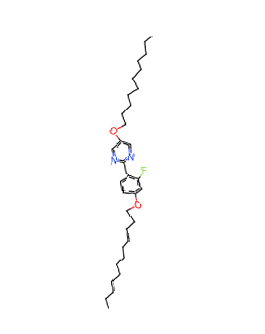 CCCCCCCCCCCCOc1ccc(-c2ncc(OCCCCCCCCCCC)cn2)c(F)c1